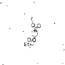 C=CCOC(=O)N1CCC(OC(=O)C(C)(C)CC)CC1